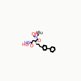 CC(C)(C)CN(CO)C(=O)[C@H](CCCc1ccc(-c2ccccc2)cc1)CC(=O)NO